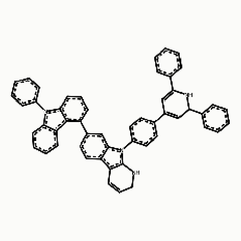 C1=Cc2c(n(-c3ccc(C4=CC(c5ccccc5)NC(c5ccccc5)=C4)cc3)c3cc(-c4cccc5c4c4ccccc4n5-c4ccccc4)ccc23)NC1